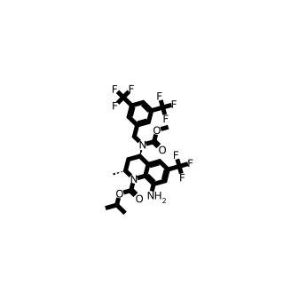 COC(=O)N(Cc1cc(C(F)(F)F)cc(C(F)(F)F)c1)[C@H]1C[C@@H](C)N(C(=O)OC(C)C)c2c(N)cc(C(F)(F)F)cc21